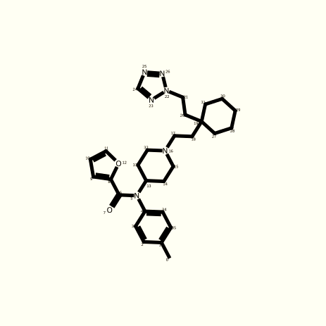 Cc1ccc(N(C(=O)c2ccco2)C2CCN(CCC3(CCn4ncnn4)CCCCC3)CC2)cc1